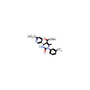 COC(=O)C1=C(C)N(c2cccc(C(F)(F)F)c2)C(=O)N[C@@H]1c1ccc(C(=O)O)nc1